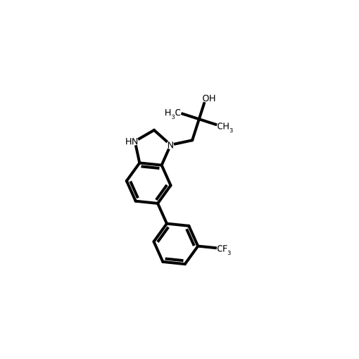 CC(C)(O)CN1CNc2ccc(-c3cccc(C(F)(F)F)c3)cc21